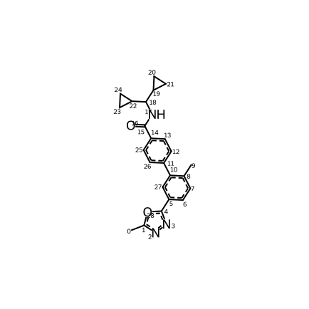 Cc1nnc(-c2ccc(C)c(-c3ccc(C(=O)NC(C4CC4)C4CC4)cc3)c2)o1